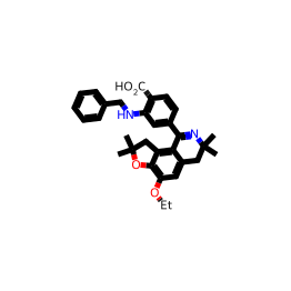 CCOc1cc2c(c3c1OC(C)(C)C3)C(c1ccc(C(=O)O)c(NCc3ccccc3)c1)=NC(C)(C)C2